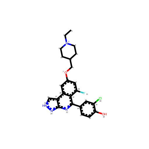 CCN1CCC(COc2cc(F)c3c(-c4ccc(O)c(Cl)c4)nc4n[nH]cc4c3c2)CC1